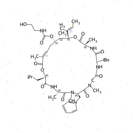 C/C=C(\C)[C@H]1OC(=O)[C@@H](C)NC(=O)C(C(C)CC)NC(=O)CN(C)C(=O)[C@@H](Cc2ccccc2)N(C)C(=O)[C@H](C)NC(=O)[C@@H](CC(C)C)OC(=O)/C(C)=C/C[C@H](OC(=O)NCCO)[C@@H]1C